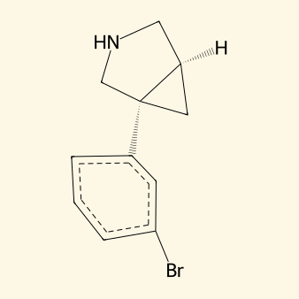 Brc1cccc([C@]23CNC[C@H]2C3)c1